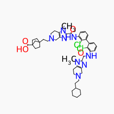 Cn1c(C(=O)Nc2cccc(-c3cccc(NC(=O)c4nc5c(n4C)CCN(CCC46CCC(C(=O)O)(CC4)C6)C5)c3Cl)c2Cl)nc2c1CCN(CCC1CCCCC1)C2